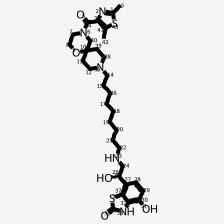 Cc1nc(C(=O)N2CCOC3(CCN(CCCCCCCCCNC[C@H](O)c4ccc(O)c5[nH]c(=O)sc45)CC3)C2)c(C)s1